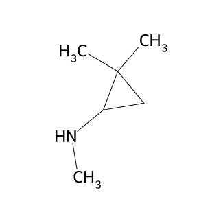 CNC1CC1(C)C